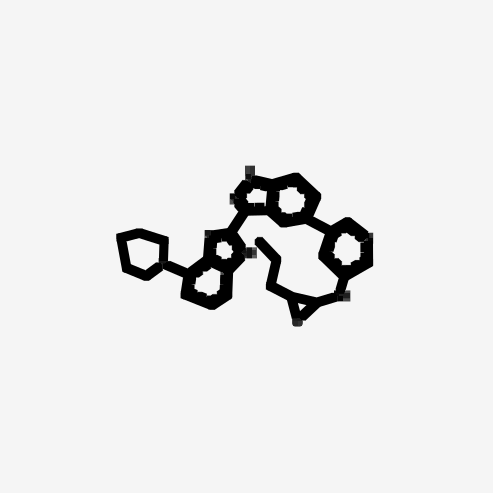 CCCC1OC1Nc1cncc(-c2ccc3[nH]nc(-c4nc5c(N6CCCCC6)cccc5[nH]4)c3c2)c1